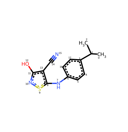 CC(C)c1ccc(Nc2snc(O)c2C#N)cc1